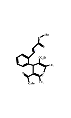 CCOC(=O)C1=C(C)NC(C)=C(C(=O)OC)C1c1ccccc1/C=C/C(=O)OC(C)(C)C